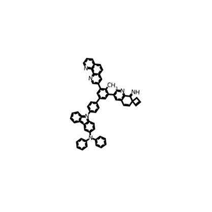 Cc1c(-c2cnc3c(c2)C=CC2(C=CC2)C3=N)cc(-c2ccc(-n3c4ccccc4c4cc(N(c5ccccc5)c5ccccc5)ccc43)cc2)cc1-c1cnc2c(ccc3cccnc32)c1